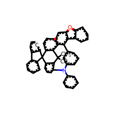 CC1(C)c2ccccc2C2(c3ccccc3-c3ccccc32)c2cccc(N(c3ccccc3)c3cccc(-c4cccc5oc6ccccc6c45)c3)c21